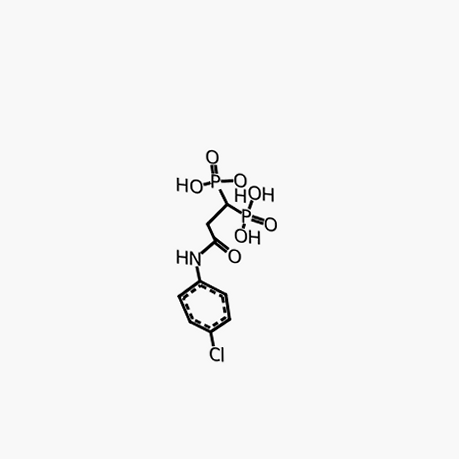 O=C(CC(P(=O)(O)O)P(=O)(O)O)Nc1ccc(Cl)cc1